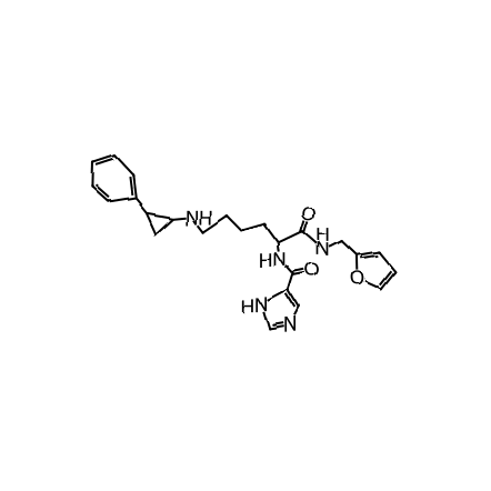 O=C(NC(CCCCNC1CC1c1ccccc1)C(=O)NCc1ccco1)c1cnc[nH]1